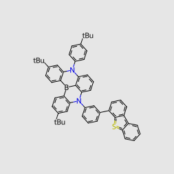 CC(C)(C)c1ccc(N2c3cc(C(C)(C)C)ccc3B3c4ccc(C(C)(C)C)cc4N(c4cccc(-c5cccc6c5sc5ccccc56)c4)c4cccc2c43)cc1